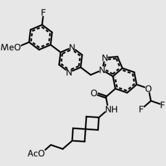 COc1cc(F)cc(-c2cnc(Cn3ncc4cc(OC(F)F)cc(C(=O)NC5CC6(CC(CCOC(C)=O)C6)C5)c43)cn2)c1